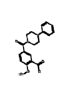 CCCOc1ccc(C(=O)N2CCN(c3ccccc3)CC2)cc1C(=O)Cl